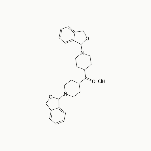 Cl.O=C(C1CCN(C2OCc3ccccc32)CC1)C1CCN(C2OCc3ccccc32)CC1